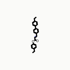 CCc1ccc(OC(=O)/C=C/c2ccc(-c3ccc(CC)cc3)cc2)cc1